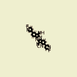 N#C/N=c1\c2cc(-c3ccc(F)nc3)ccc2c2nc3c(=N)c4cc(-c5ccc(F)nc5)ccc4c3nc12